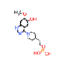 COc1cc2ncnc(N3CCC(CCOP(O)O)CC3)c2cc1O